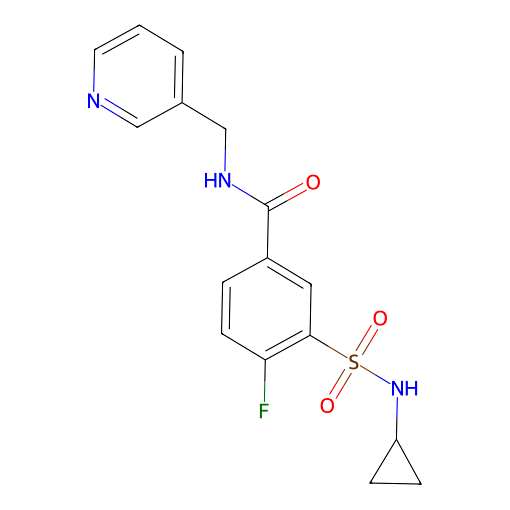 O=C(NCc1cccnc1)c1ccc(F)c(S(=O)(=O)NC2CC2)c1